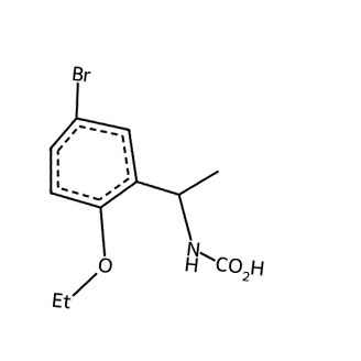 CCOc1ccc(Br)cc1C(C)NC(=O)O